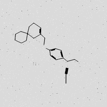 CC#C[C@@H](CC(=O)O)c1ccc(OCC2=CCCC3(CCCCC3)C2)cc1.[Na]